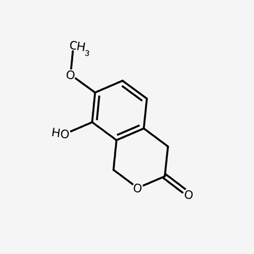 COc1ccc2c(c1O)COC(=O)C2